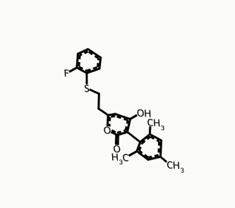 Cc1cc(C)c(-c2c(O)cc(CCSc3ccccc3F)oc2=O)c(C)c1